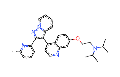 Cc1cccc(-c2nn3ccccc3c2-c2ccnc3cc(OCCN(C(C)C)C(C)C)ccc23)n1